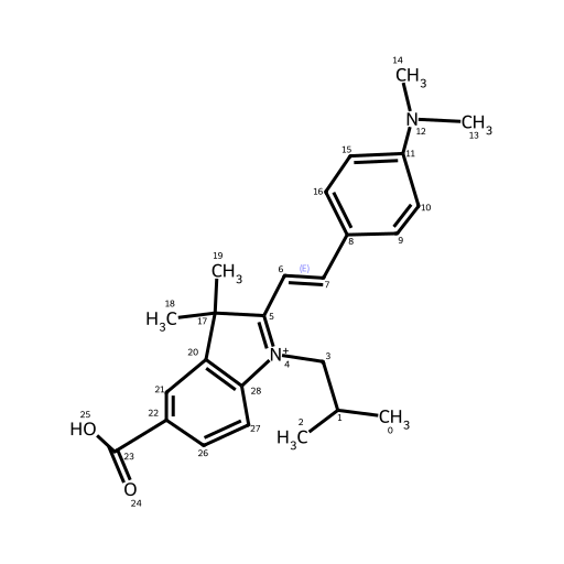 CC(C)C[N+]1=C(/C=C/c2ccc(N(C)C)cc2)C(C)(C)c2cc(C(=O)O)ccc21